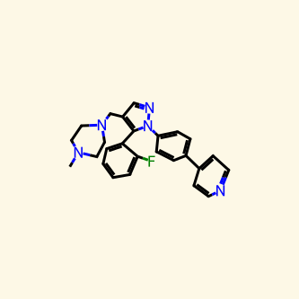 CN1CCN(Cc2cnn(-c3ccc(-c4ccncc4)cc3)c2-c2ccccc2F)CC1